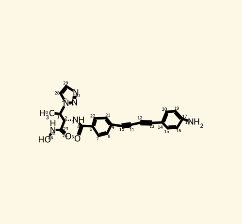 CC([C@H](NC(=O)c1ccc(C#CC#Cc2ccc(N)cc2)cc1)C(=O)NO)n1ccnn1